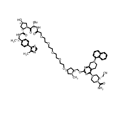 Cc1ncsc1-c1ccc([C@H](C)NC(=O)[C@@H]2C[C@@H](O)CN2C(=O)[C@@H](NC(=O)COCCOCCOCCOCCO[C@@H]2C[C@@H](COc3nc4c(c(N5CCN(C(N)=O)[C@@H](CC#N)C5)n3)CCN(c3cccc5ccccc35)C4)N(C)C2)C(C)(C)C)cc1